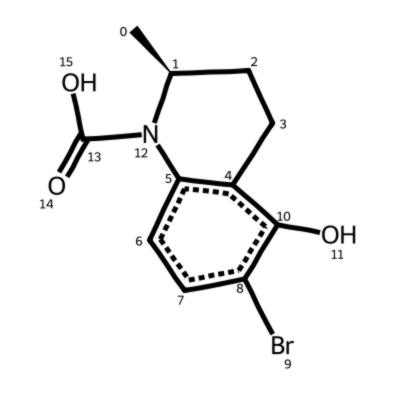 C[C@H]1CCc2c(ccc(Br)c2O)N1C(=O)O